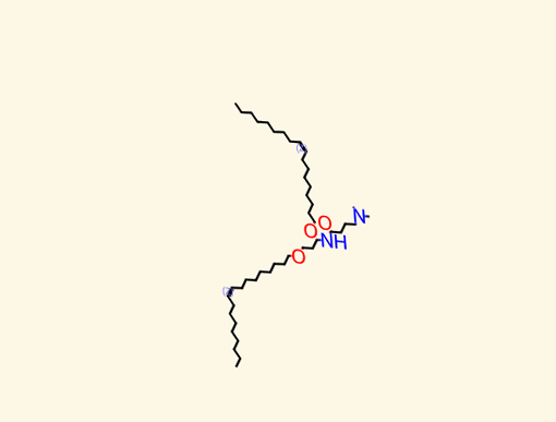 CCCCCCCC/C=C\CCCCCCCCOCCC(NC(=O)CCCN(C)C)OCCCCCCCC/C=C\CCCCCCCC